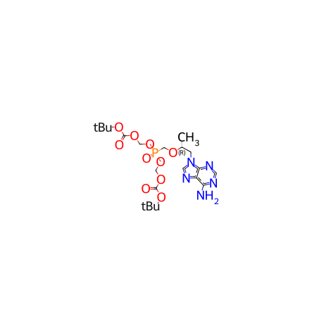 C[C@H](Cn1cnc2c(N)ncnc21)OCP(=O)(OCOC(=O)OC(C)(C)C)OCOC(=O)OC(C)(C)C